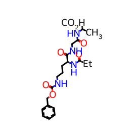 CCC(=O)NC(CCCNC(=O)OCc1ccccc1)C(=O)NCC(=O)NC(C)C(=O)O